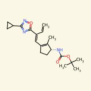 C=C/C(=C\C1=C(C)[C@H](NC(=O)OC(C)(C)C)CC1)c1nc(C2CC2)no1